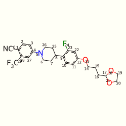 N#Cc1ccc(N2CCC(c3ccc(OCCCC4OCCO4)cc3F)CC2)cc1C(F)(F)F